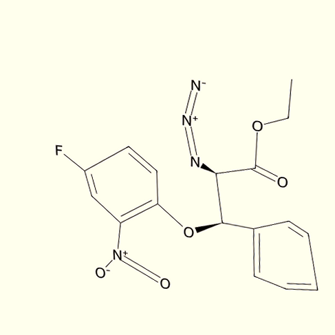 CCOC(=O)[C@H](N=[N+]=[N-])[C@H](Oc1ccc(F)cc1[N+](=O)[O-])c1ccccc1